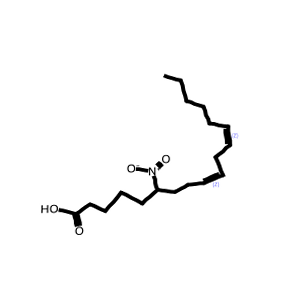 CCCCC/C=C\C/C=C\CCC(CCCCC(=O)O)[N+](=O)[O-]